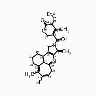 C=C1C2=C(CN1C(=O)C1=C(C)C(OCC)C(=O)OC1)C1CCCC3=C(C)C(F)=CCC(=N2)C31